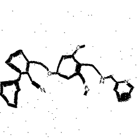 COc1cc(OCc2cccc(-c3ccccc3)c2C#N)cc(OC)c1CNCc1ccccn1